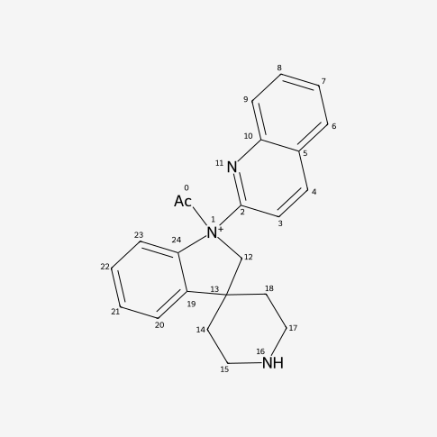 CC(=O)[N+]1(c2ccc3ccccc3n2)CC2(CCNCC2)c2ccccc21